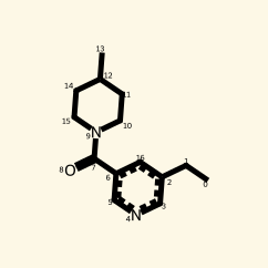 CCc1cncc(C(=O)N2CCC(C)CC2)c1